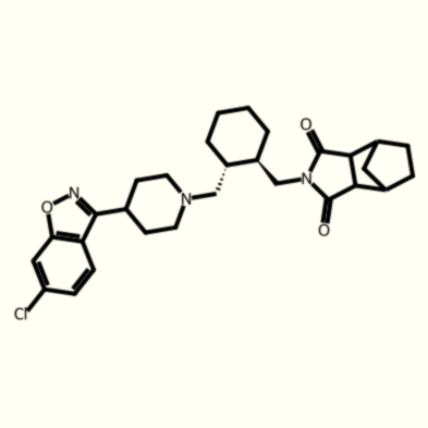 O=C1C2C3CCC(C3)C2C(=O)N1C[C@@H]1CCCC[C@H]1CN1CCC(c2noc3cc(Cl)ccc23)CC1